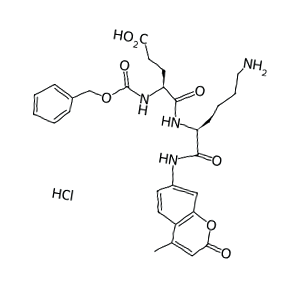 Cc1cc(=O)oc2cc(NC(=O)[C@H](CCCCN)NC(=O)[C@H](CCC(=O)O)NC(=O)OCc3ccccc3)ccc12.Cl